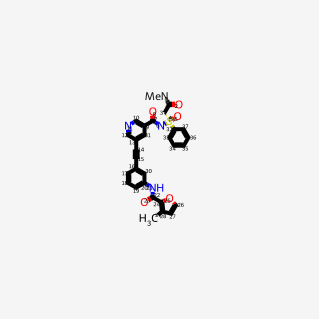 CNC(=O)C[S@@](=O)(=NC(=O)c1cncc(C#Cc2cccc(NC(=O)c3occc3C)c2)c1)c1ccccc1